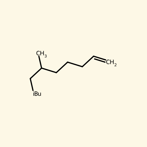 C=CCCCC(C)CC(C)CC